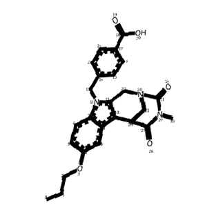 CCCOc1ccc2c(c1)c1c(n2Cc2ccc(C(=O)O)cc2)CN2CC1C(=O)N(C)C2=O